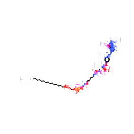 CCCCCCCCCCCCCCCC(=O)OCCCOP(=O)(O)OCCNC(=O)CCCCCNC(=O)CC[C@H](NC(=O)c1ccc(NCc2cnc3nc(N)[nH]c(=O)c3n2)cc1)C(=O)O